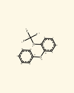 FC(F)(F)Oc1ccccc1Oc1cc[c]cc1